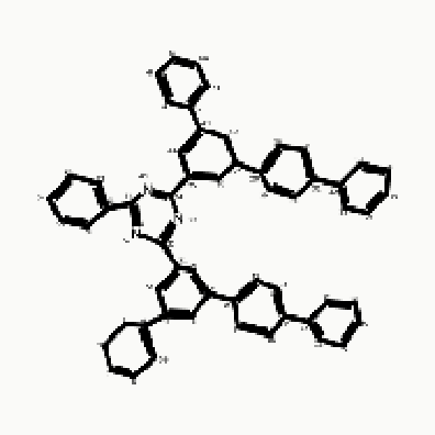 C1=CCCC(c2cc(-c3ccc(-c4ccccc4)cc3)cc(-c3nc(C4=CC(c5ccc(-c6ccccc6)cc5)CC(c5ccccc5)=C4)nc(-c4ccccc4)n3)c2)=C1